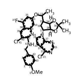 COc1ccc(CNc2nc3cc(OC(C)C4C[C@@H](n5ccc6c(Cl)ncnc65)[C@@H]5OC(C)(C)O[C@H]45)cc(F)c3cc2Cl)cc1